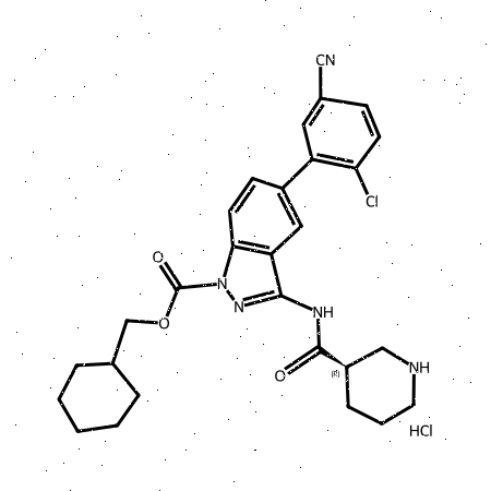 Cl.N#Cc1ccc(Cl)c(-c2ccc3c(c2)c(NC(=O)[C@@H]2CCCNC2)nn3C(=O)OCC2CCCCC2)c1